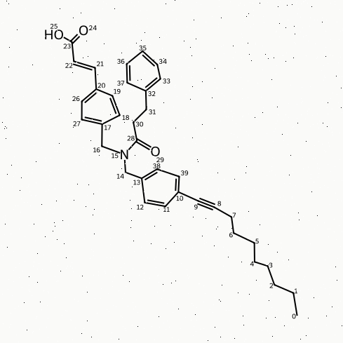 CCCCCCCCC#Cc1ccc(CN(Cc2ccc(/C=C/C(=O)O)cc2)C(=O)CCc2ccccc2)cc1